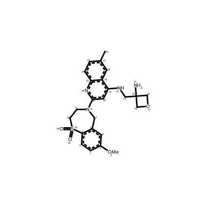 COc1ccc2c(c1)CN(c1cc(NCC3(N)COC3)c3cc(C)ccc3n1)CCS2(=O)=O